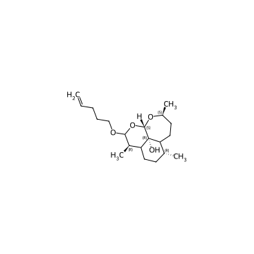 C=CCCCOC1O[C@@H]2O[C@@H](C)CCC3[C@H](C)CCC([C@H]1C)[C@]32O